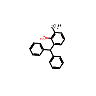 O=C(O)c1cccc(C(c2ccccc2)c2ccccc2)c1O